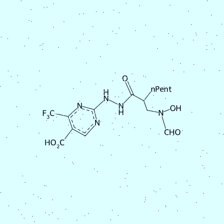 CCCCCC(CN(O)C=O)C(=O)NNc1ncc(C(=O)O)c(C(F)(F)F)n1